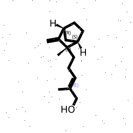 C=C1[C@@H]2CC[C@@H](C2)[C@]1(C)CC/C=C(\C)CO